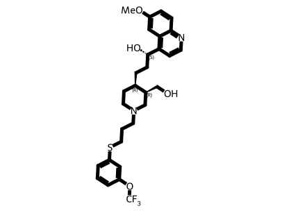 COc1ccc2nccc([C@@H](O)CC[C@@H]3CCN(CCCSc4cccc(OC(F)(F)F)c4)C[C@@H]3CO)c2c1